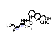 C=C/C(F)=C\C=C(/C)NC(=O)N1CCCc2cc(CO)c(C=O)nc21